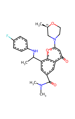 CC(Nc1ccc(F)cc1)c1cc(C(=O)N(C)C)cc2c(=O)cc(N3CCO[C@H](C)C3)oc12